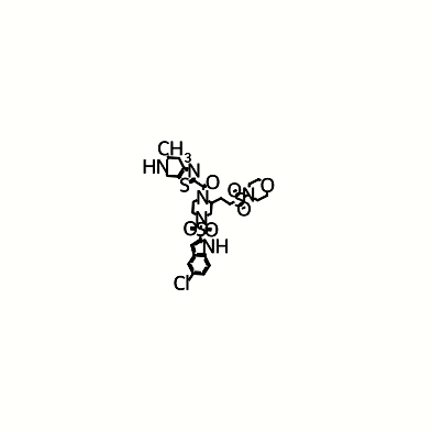 CC1Cc2nc(C(=O)N3CCN(S(=O)(=O)c4cc5cc(Cl)ccc5[nH]4)CC3CCS(=O)(=O)N3CCOCC3)sc2CN1